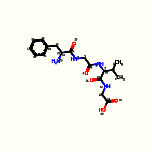 CC(C)[C@H](NC(=O)CNC(=O)[C@@H](N)Cc1ccccc1)C(=O)NCC(=O)O